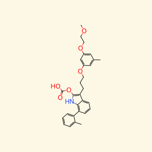 COCCOc1cc(C)cc(OCCCc2c(OC(=O)O)[nH]c3c(-c4ccccc4C)cccc23)c1